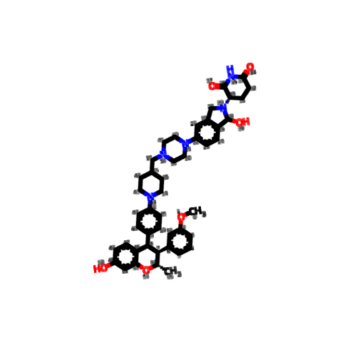 COc1cccc([C@@H]2C(c3ccc(N4CCC(CN5CCN(c6ccc7c(c6)CN([C@H]6CCC(=O)NC6=O)C7O)CC5)CC4)cc3)c3ccc(O)cc3O[C@H]2C)c1